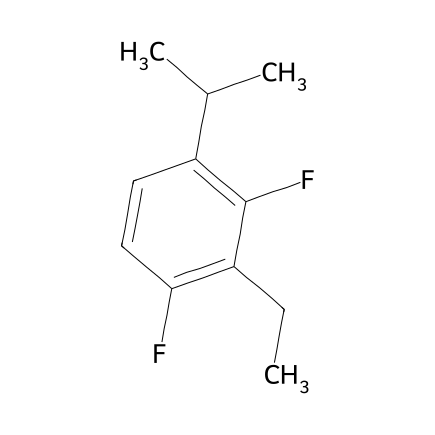 CCc1c(F)ccc(C(C)C)c1F